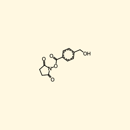 O=C(ON1C(=O)CCC1=O)c1ccc(CO)cc1